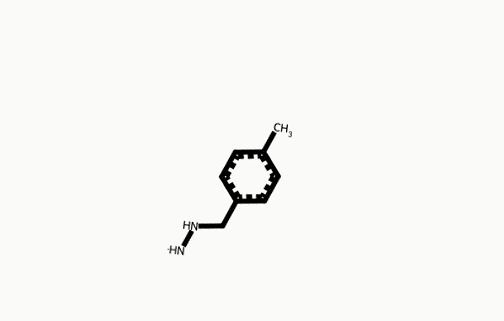 Cc1ccc(CN[NH])cc1